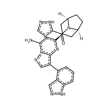 Nc1cc([C@H]2C[C@H]3CC[C@@H](C2)N3C(=O)c2ncn[nH]2)nc2c(-c3cccc4[nH]ncc34)cnn12